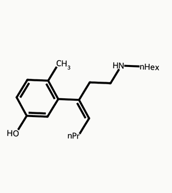 CCC/C=C(/CCNCCCCCC)c1cc(O)ccc1C